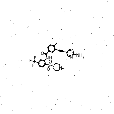 Cc1ccc(C(=O)Nc2cc(C(F)(F)F)ccc2S(=O)(=O)N2CCN(C)CC2)cc1C#Cc1cnc(N)nc1